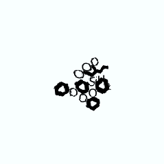 CCCC1C(=O)OC(=O)C1[SiH2]c1ccc(Oc2ccccc2)c(Oc2ccccc2)c1Oc1ccccc1